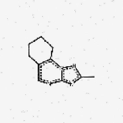 Cc1nc2ncc3c(n2n1)CCCC3